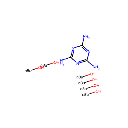 CCCCO.CCCCO.CCCCO.CCCCO.CCCCO.CCCCO.Nc1nc(N)nc(N)n1